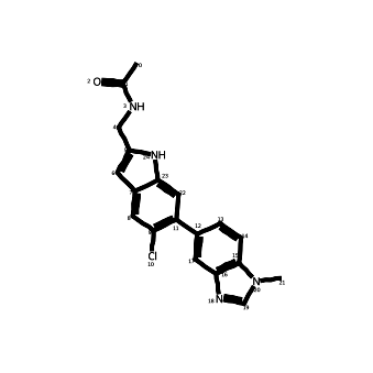 CC(=O)NCc1cc2cc(Cl)c(-c3ccc4c(c3)ncn4C)cc2[nH]1